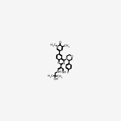 Cc1cc(-c2ccc3nc(/C(C=N)=C/NCC(C)(C)O)nc(N4CCOCC4c4ccc(F)cc4)c3c2)cn(C)c1=O